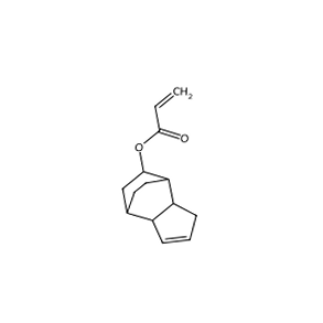 C=CC(=O)OC1CC2CCC1C1CC=CC21